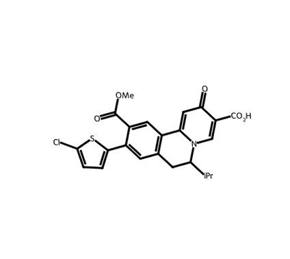 COC(=O)c1cc2c(cc1-c1ccc(Cl)s1)CC(C(C)C)n1cc(C(=O)O)c(=O)cc1-2